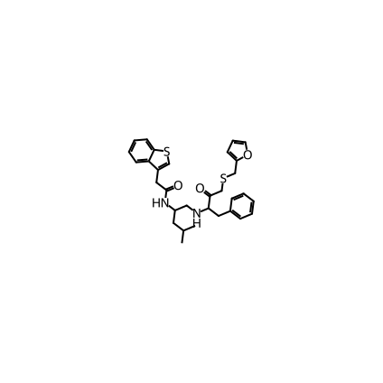 CC(C)CC(CNC(Cc1ccccc1)C(=O)CSCc1ccco1)NC(=O)Cc1csc2ccccc12